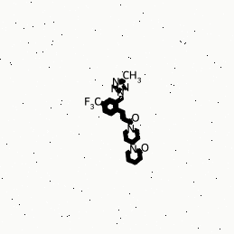 Cc1nnn(Cc2cc(C(F)(F)F)ccc2/C=C/C(=O)N2CCC(N3CCCCC3=O)CC2)n1